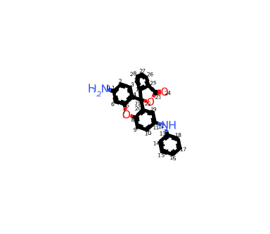 Nc1ccc2c(c1)Oc1ccc(Nc3ccccc3)cc1C21OC(=O)c2ccccc21